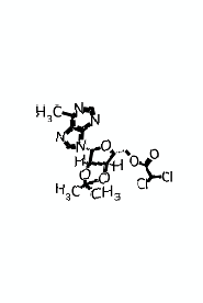 Cc1ncnc2c1ncn2[C@@H]1O[C@H](COC(=O)C(Cl)Cl)[C@H]2OC(C)(C)O[C@H]21